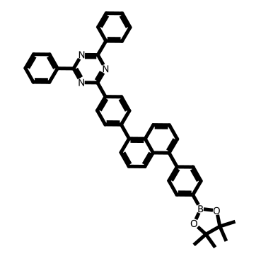 CC1(C)OB(c2ccc(-c3cccc4c(-c5ccc(-c6nc(-c7ccccc7)nc(-c7ccccc7)n6)cc5)cccc34)cc2)OC1(C)C